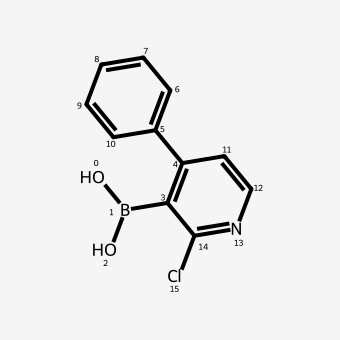 OB(O)c1c(-c2ccccc2)ccnc1Cl